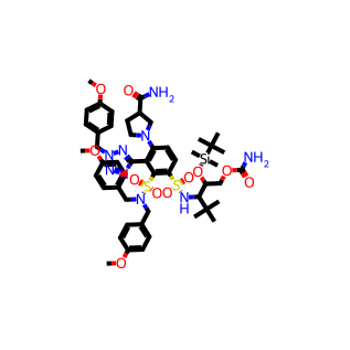 COc1ccc(CN(Cc2ccc(OC)cc2)S(=O)(=O)c2c(S(=O)(=O)NC(C(COC(N)=O)O[Si](C)(C)C(C)(C)C)C(C)(C)C)ccc(N3CCC(C(N)=O)C3)c2-c2nnn(Cc3ccc(OC)cc3)n2)cc1